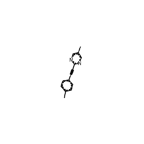 Cc1ccc(C#Cc2ncc(C)cn2)cc1